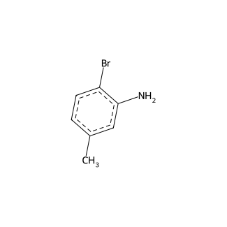 Cc1ccc(Br)c(N)c1